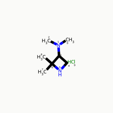 CN(C)C1CNC1(C)C.Cl